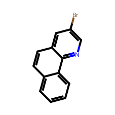 Brc1cnc2c(ccc3ccccc32)c1